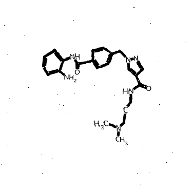 CN(C)CCCNC(=O)c1cnn(Cc2ccc(C(=O)Nc3ccccc3N)cc2)c1